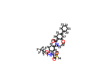 CC(C)(C)[Si](C)(C)Oc1ccc(N2CCOc3cc(-c4ccccc4)ccc3C2=O)cc1NS(C)(=O)=O